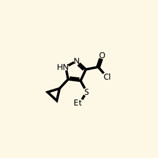 CCSc1c(C(=O)Cl)n[nH]c1C1CC1